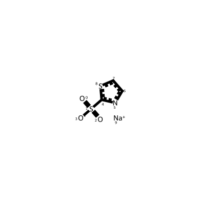 O=S(=O)([O-])c1nccs1.[Na+]